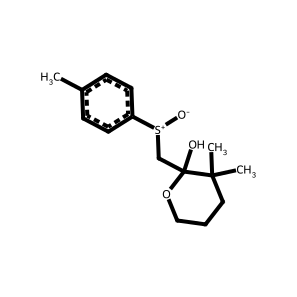 Cc1ccc([S+]([O-])CC2(O)OCCCC2(C)C)cc1